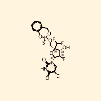 O=c1[nH]c(=O)n([C@@H]2O[C@@](COP3(=S)OCc4ccccc4O3)(C(F)F)[C@H](O)[C@H]2F)cc1Cl